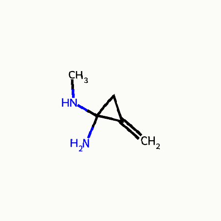 C=C1CC1(N)NC